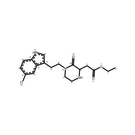 CCOC(=O)CC1NCCN(CCc2c[nH]c3ccc(Cl)cc23)C1=O